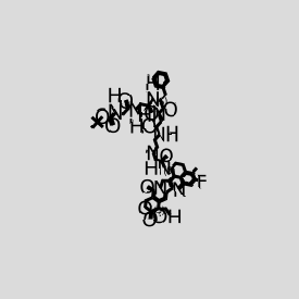 CC[C@@]1(O)C(=O)OCc2c1cc1n(c2=O)Cc2c-1nc1cc(F)c(C)c3c1c2[C@@H](NC(=O)CN(C)CCNC(=O)CNC(=O)[C@H](Cc1ccccc1)NC(=O)CNC(=O)CNC(=O)OC(C)(C)C)CC3